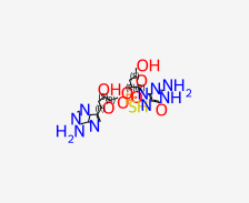 NC1=NC=NC2C([C@H]3C[C@H](O)[C@@H](COP(=O)(S)O[C@@H]4C[C@@H](CO)O[C@H]4n4cnc5c(=O)[nH]c(N)nc54)O3)=CN=C12